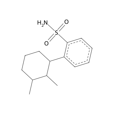 CC1CCCC(c2ccccc2S(N)(=O)=O)C1C